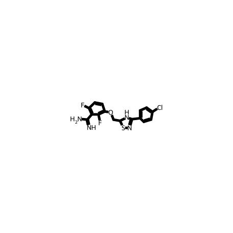 N=C(N)c1c(F)ccc(OCC2NC(c3ccc(Cl)cc3)=NS2)c1F